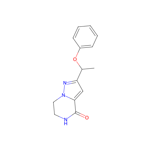 CC(Oc1ccccc1)c1cc2n(n1)CCNC2=O